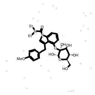 CCN(CC)C(=O)n1cc(Cc2ccc(OC)cc2)c2c(O[C@]3(O)[C@@H](O)O[C@H](CO)[C@@H](O)[C@@H]3O)cccc21